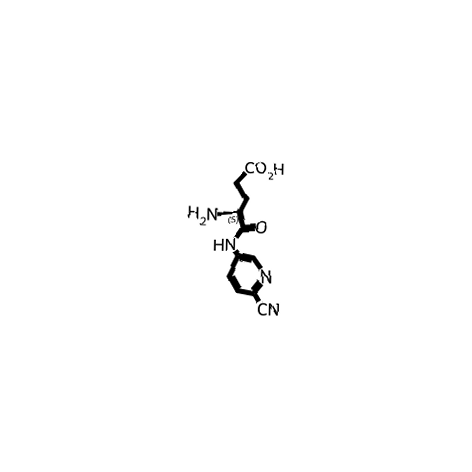 N#Cc1ccc(NC(=O)[C@@H](N)CCC(=O)O)cn1